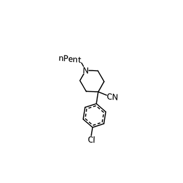 CCCCCN1CCC(C#N)(c2ccc(Cl)cc2)CC1